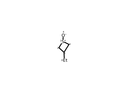 [CH2]CC1C[S+]([O-])C1